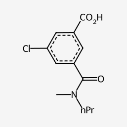 CCCN(C)C(=O)c1cc(Cl)cc(C(=O)O)c1